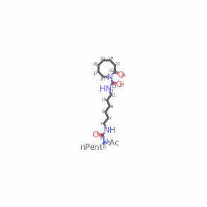 CCCCCN(C(C)=O)C(=O)NCCCCCCNC(=O)N1CCCCCCC1=O